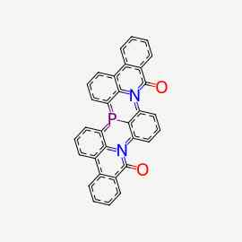 O=c1c2ccccc2c2cccc3c2n1c1cccc2c1-p3c1cccc3c4ccccc4c(=O)n2c31